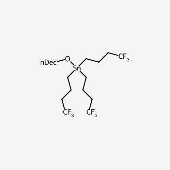 CCCCCCCCCC[O][Sn]([CH2]CCC(F)(F)F)([CH2]CCC(F)(F)F)[CH2]CCC(F)(F)F